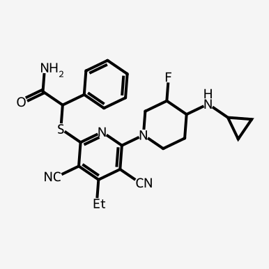 CCc1c(C#N)c(SC(C(N)=O)c2ccccc2)nc(N2CCC(NC3CC3)C(F)C2)c1C#N